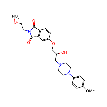 COc1ccc(N2CCN(CC(O)COc3ccc4c(c3)C(=O)N(CCO[N+](=O)[O-])C4=O)CC2)cc1